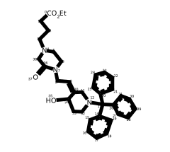 CCOC(=O)CCCN1CCN(C/C=C2/CN(C(c3ccccc3)(c3ccccc3)c3ccccc3)CCC2O)C(=O)C1